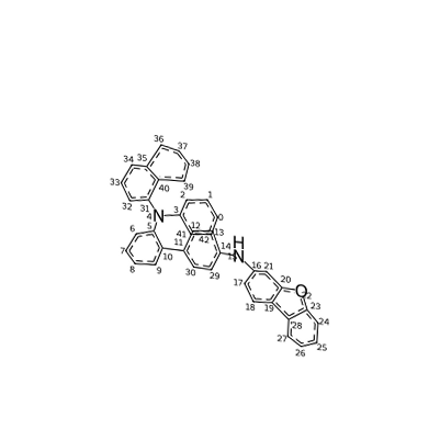 c1ccc(N(c2ccccc2-c2ccc(Nc3ccc4c(c3)oc3ccccc34)cc2)c2cccc3ccccc23)cc1